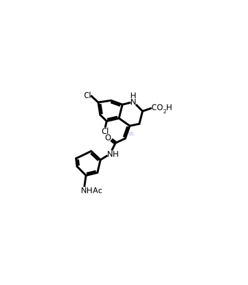 CC(=O)Nc1cccc(NC(=O)/C=C2/CC(C(=O)O)Nc3cc(Cl)cc(Cl)c32)c1